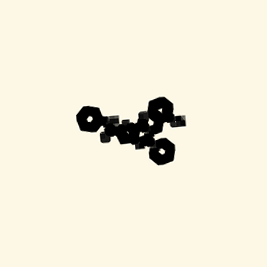 N#Cc1ccccc1Cn1c(N2CCCCC2)nc2cc(C(=O)NC3CCCCC3)sc2c1=O